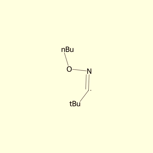 CCCCO/N=[C]\C(C)(C)C